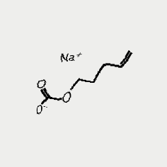 C=CCCCOC(=O)[O-].[Na+]